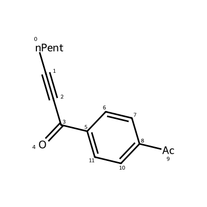 CCCCCC#CC(=O)c1ccc(C(C)=O)cc1